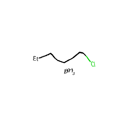 B.CCCCCCl